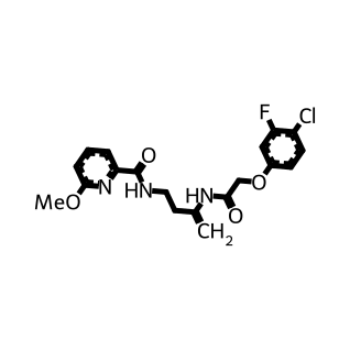 C=C(CCNC(=O)c1cccc(OC)n1)NC(=O)COc1ccc(Cl)c(F)c1